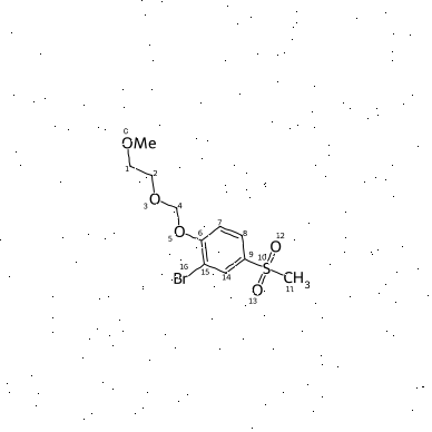 COCCOCOc1ccc(S(C)(=O)=O)cc1Br